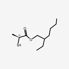 CCCCC(CC)COC(=O)[C@H](C)S